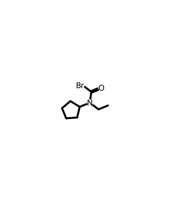 CCN(C(=O)Br)C1CCCC1